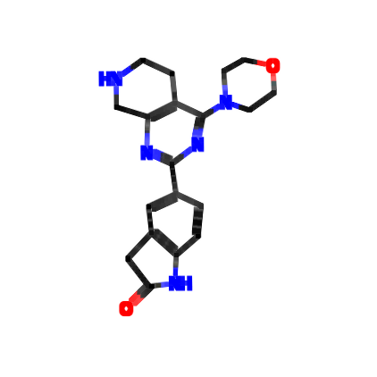 O=C1Cc2cc(-c3nc4c(c(N5CCOCC5)n3)CCNC4)ccc2N1